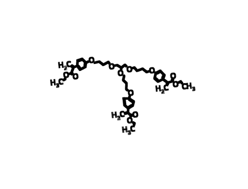 C=C(C(=O)OCC)c1ccc(OCCCCOCC(COCCCCOc2ccc(C(=C)C(=O)OCC)cc2)OCCCCOc2ccc(C(=C)C(=O)OCC)cc2)cc1